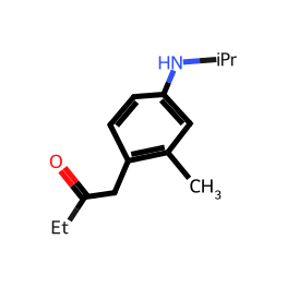 CCC(=O)Cc1ccc(NC(C)C)cc1C